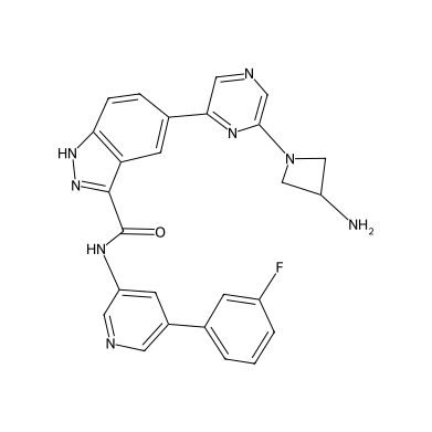 NC1CN(c2cncc(-c3ccc4[nH]nc(C(=O)Nc5cncc(-c6cccc(F)c6)c5)c4c3)n2)C1